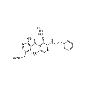 CC(=O)NCc1cnc2[nH]cc(-n3c(C)cnc(NCCc4ccccn4)c3=O)c2c1.Cl.Cl.Cl